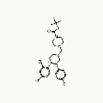 CC(C)(C)OC(=O)N1CCN(C[C@@H]2CC[C@@H](c3ccc(Cl)cc3Cl)N(c3ccc(Cl)cc3)C2)CC1